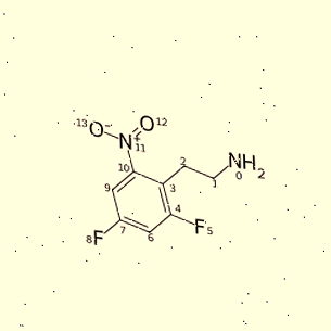 NCCc1c(F)cc(F)cc1[N+](=O)[O-]